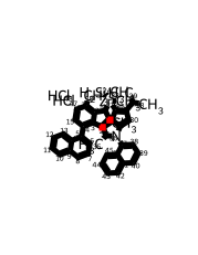 CC1=Cc2c(-c3cccc4ccccc34)ccc(C)c2[CH]1[Zr]([CH3])([CH3])(=[SiH2])[C]1=C(C(C)C)C=C2C1=CC(C)N2c1cccc2ccccc12.Cl.Cl